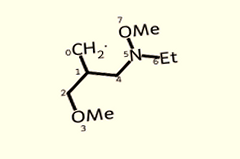 [CH2]C(COC)CN(CC)OC